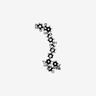 COc1cc(N2CCC(N3CCN(CC(=O)NC4CCN(CC(=O)Nc5cccc6c5CN(C5CCC(=O)NC5=O)C6=O)CC4)CC3)CC2)ccc1Nc1ncc(Cl)c(Nc2ccccc2P(C)(C)=O)n1